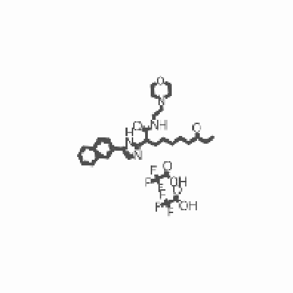 CCC(=O)CCCCCC(C(=O)NCCN1CCOCC1)c1ncc(-c2ccc3ccccc3c2)[nH]1.O=C(O)C(F)(F)F.O=C(O)C(F)(F)F